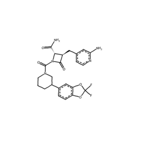 NC(=O)[C@@H]1[C@@H](Cc2ccnc(N)c2)C(=O)N1C(=O)N1CCCC(c2ccc3c(c2)OC(F)(F)O3)C1